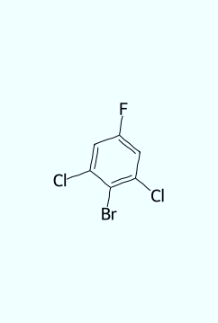 Fc1cc(Cl)c(Br)c(Cl)c1